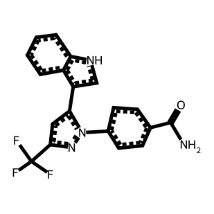 NC(=O)c1ccc(-n2nc(C(F)(F)F)cc2-c2c[nH]c3ccccc23)cc1